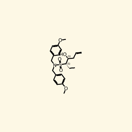 C=CC[C@H](O)[C@H](CC)S(=O)(=O)N(Cc1ccc(OC)cc1)Cc1ccc(OC)cc1